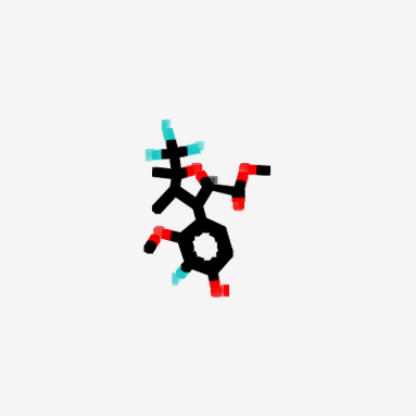 COC(=O)[C@@H]1OC(C)(C(F)(F)F)C(C)C1c1ccc(O)c(F)c1OC